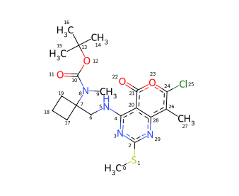 CSc1nc(NCC2(N(C)C(=O)OC(C)(C)C)CCC2)c2c(=O)oc(Cl)c(C)c2n1